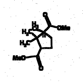 COC(=O)C1CC[C@@](C)(C(=O)OC)C1(C)C